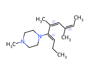 C\C=C(C)/C=C(C)\C(=C\CC)N1CCN(C)CC1